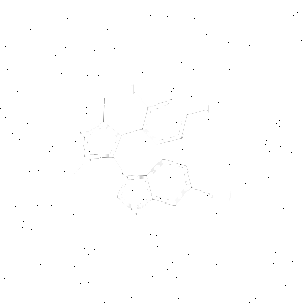 Cc1nn(C)c(-n2cnc3cc(O)ccc32)c1-c1ccc(F)cc1Cl